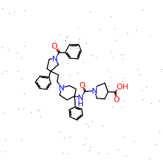 O=C(O)C1CCN(C(=O)NC2(c3ccccc3)CCN(CCC3(c4ccccc4)CCN(C(=O)c4ccccc4)C3)CC2)CC1